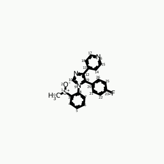 C[S+]([O-])c1ccccc1-n1cnc(-c2ccncc2)c1-c1ccc(F)cc1